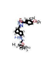 CC(C)Oc1ccc(-c2nc(-c3cccc4c3CCC4NCCO[Si](C)(C)C(C)(C)C)no2)cc1C#N